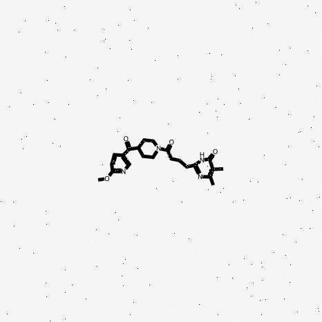 COc1ccc(C(=O)C2CCN(C(=O)CCCc3nc(C)c(C)c(=O)[nH]3)CC2)cn1